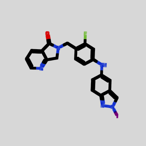 O=C1c2cccnc2CN1Cc1ccc(Nc2ccc3nn(I)cc3c2)cc1F